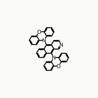 c1ccc2c(c1)Oc1ccccc1N2c1c2ccccc2c(N2c3ccccc3Oc3ccccc32)c2cnccc12